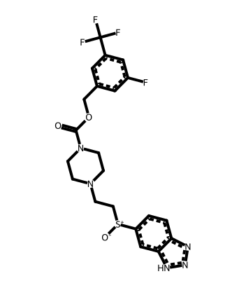 O=C(OCc1cc(F)cc(C(F)(F)F)c1)N1CCN(CC[S+]([O-])c2ccc3nn[nH]c3c2)CC1